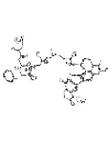 CC[C@@]1(O)C(=O)OCc2c1cc1n(c2=O)Cc2c-1nc1cc(F)c(C)c3c1c2[C@@H](NC(=O)CCN(C)CCNC(=O)CNC(=O)[C@H](Cc1ccccc1)NC(=O)CNC(=O)CN)CC3